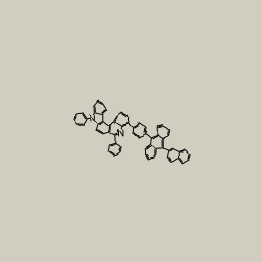 c1ccc(-c2nc3c(-c4ccc(-c5c6ccccc6c(-c6ccc7ccccc7c6)c6ccccc56)cc4)cccc3c3c2ccc2c3c3ccccc3n2-c2ccccc2)cc1